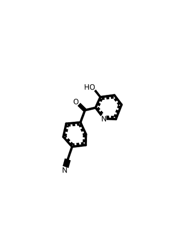 N#Cc1ccc(C(=O)c2ncccc2O)cc1